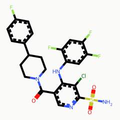 NS(=O)(=O)c1ncc(C(=O)N2CCC(c3ccc(F)cc3)CC2)c(Nc2cc(F)c(F)cc2F)c1Cl